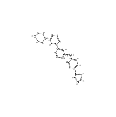 c1cc(-c2ccnc(Nc3ccc(-n4cnnc4)cc3)n2)cc(N2CCOCC2)c1